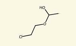 [CH2]C(O)OCCCl